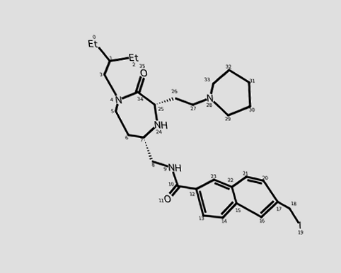 CCC(CC)CN1CC[C@@H](CNC(=O)c2ccc3cc(CI)ccc3c2)N[C@@H](CCN2CCCCC2)C1=O